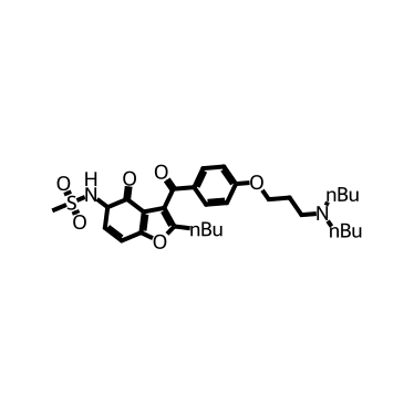 CCCCc1oc2c(c1C(=O)c1ccc(OCCCN(CCCC)CCCC)cc1)C(=O)C(NS(C)(=O)=O)C=C2